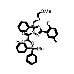 COCOC[C@@]1(c2ccccc2)SC(c2cc(F)ccc2F)=NN1C(=O)[C@H](C)O[Si](c1ccccc1)(c1ccccc1)C(C)(C)C